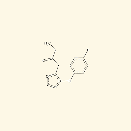 CCC(=O)Cc1occc1Oc1ccc(F)cc1